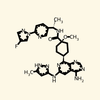 CO[C@]1(C(=O)N[C@@H](C)c2ccc(-n3cc(F)cn3)nc2)CC[C@H](c2nc(Nc3cc(C)[nH]n3)cc3c(N)ncnc32)CC1